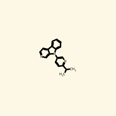 CC(C)c1ccc(-n2c3ccccc3c3ccncc32)cn1